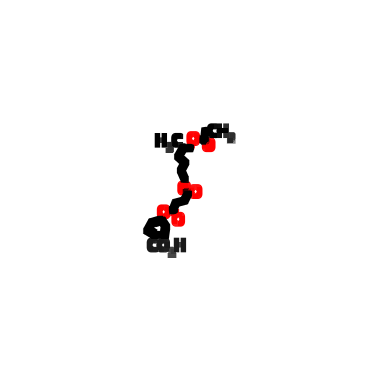 C=CC(=O)OCC(C)CCCCOC(=O)CCC(=O)Oc1ccc(C(=O)O)cc1